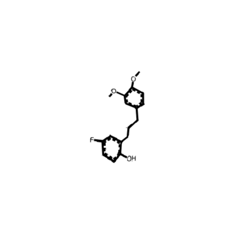 COc1ccc(C[CH]Cc2cc(F)ccc2O)cc1OC